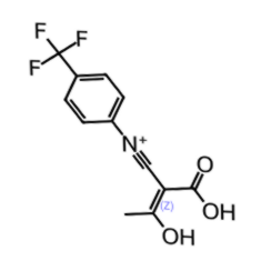 C/C(O)=C(\C#[N+]c1ccc(C(F)(F)F)cc1)C(=O)O